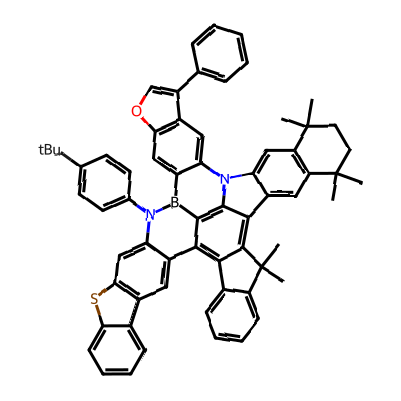 CC(C)(C)c1ccc(N2B3c4cc5occ(-c6ccccc6)c5cc4-n4c5cc6c(cc5c5c7c(c(c3c54)-c3cc4c(cc32)sc2ccccc24)-c2ccccc2C7(C)C)C(C)(C)CCC6(C)C)cc1